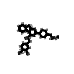 O=C(O)C=C1CCC(c2nc(NCc3ccc(Cl)c(Cl)c3)c3c(n2)sc2ccccc23)CC1